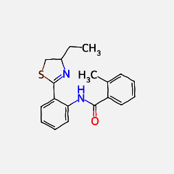 CCC1CSC(c2ccccc2NC(=O)c2ccccc2C)=N1